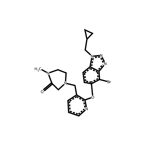 CN1CCN(Cc2cccnc2Oc2ccc3c(nnn3CC3CC3)c2Br)CC1=O